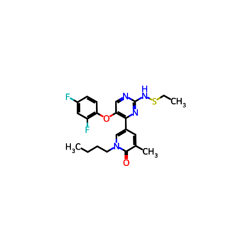 CCCCn1cc(-c2nc(NSCC)ncc2Oc2ccc(F)cc2F)cc(C)c1=O